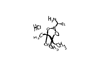 CC[C@H](N)B1OC(C)(C)C(C)(C)O1.Cl